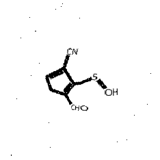 N#CC1=CCC(C=O)=C1SO